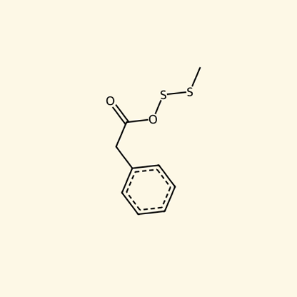 CSSOC(=O)Cc1ccccc1